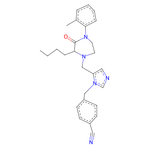 CCCCC1C(=O)N(c2ccccc2C)CCN1Cc1cncn1Cc1ccc(C#N)cc1